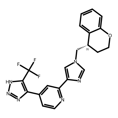 FC(F)(F)c1[nH]nnc1-c1ccnc(-c2cn(C[C@H]3CCOc4ccccc43)cn2)c1